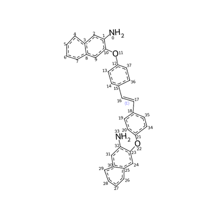 Nc1cc2ccccc2cc1Oc1ccc(/C=C/c2ccc(Oc3cc4ccccc4cc3N)cc2)cc1